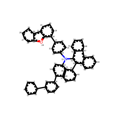 c1ccc(-c2cccc(-c3ccc(N(c4ccc(-c5cccc6c5oc5ccccc56)cc4)c4c(-c5ccccc5)c5ccccc5c5ccccc45)cc3)c2)cc1